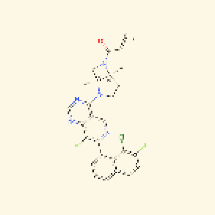 C=CC(=O)N1C[C@H]2[C@@H]1CCN2c1ncnc2c(F)c(-c3cccc4ccc(F)c(Cl)c34)ncc12